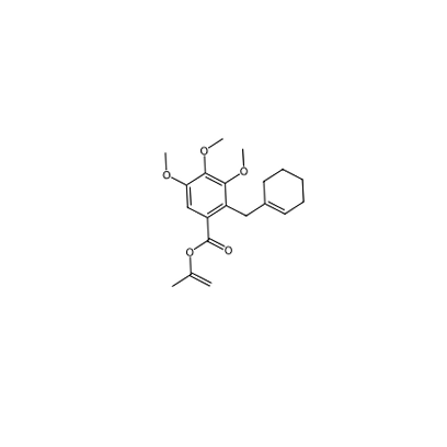 C=C(C)OC(=O)c1cc(OC)c(OC)c(OC)c1CC1=CCCCC1